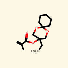 C=C(C)C(=O)OC1(CC(=O)OCC)COC2(CCCCC2)OC1